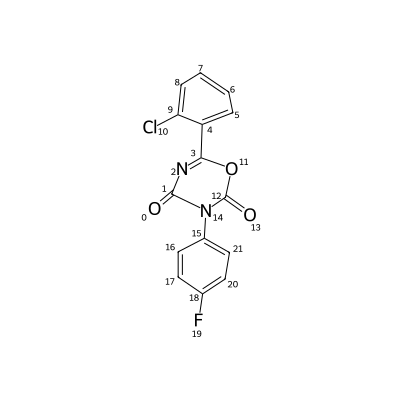 O=c1nc(-c2ccccc2Cl)oc(=O)n1-c1ccc(F)cc1